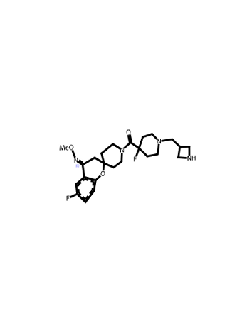 CO/N=C1\CC2(CCN(C(=O)C3(F)CCN(CC4CNC4)CC3)CC2)Oc2ccc(F)cc21